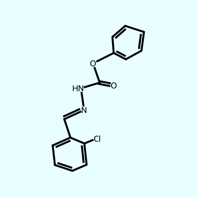 O=C(N/N=C/c1ccccc1Cl)Oc1ccccc1